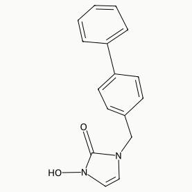 O=c1n(O)ccn1Cc1ccc(-c2ccccc2)cc1